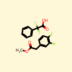 COC(=O)Cc1ccc(F)c(F)c1.O=C(O)C(F)(F)c1ccccc1